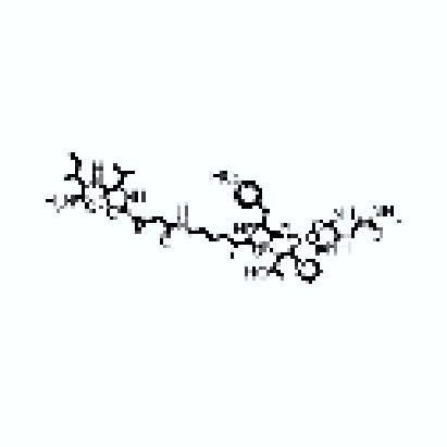 CCC(C)[C@H](NC(=O)[C@@H](NC(=O)[C@@H]1CC1CC(=O)NCCCC[C@H](C)C(=O)N[C@@H](Cc1ccc(O)cc1)C(=O)N[C@H](C(=O)N1CCC[C@H]1C(=O)N[C@@H](CCC(N)=O)C(N)=O)C(C)O)C(C)C)C(N)=O